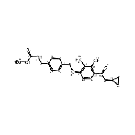 CC(C)(C)OC(=O)NCc1ccc(COc2ccc(C(=O)CC3CC3)c(O)c2C(F)(F)F)cc1